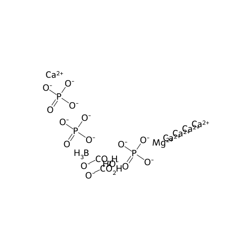 B.O=C([O-])O.O=C([O-])O.O=P([O-])([O-])[O-].O=P([O-])([O-])[O-].O=P([O-])([O-])[O-].[Ca+2].[Ca+2].[Ca+2].[Ca+2].[Ca+2].[Mg+2].[OH-]